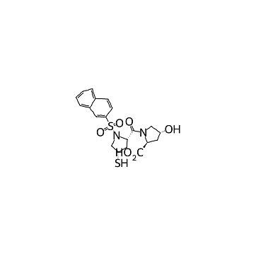 O=C(O)[C@@H]1C[C@@H](O)CN1C(=O)[C@@H]1C[C@H](S)CN1S(=O)(=O)c1ccc2ccccc2c1